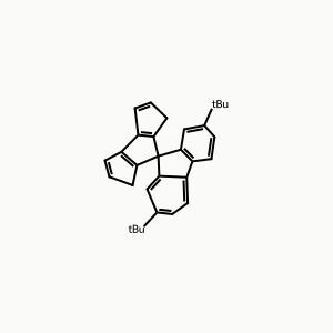 CC(C)(C)c1ccc2c(c1)C1(C3=C(C=CC3)C3=C1CC=C3)c1cc(C(C)(C)C)ccc1-2